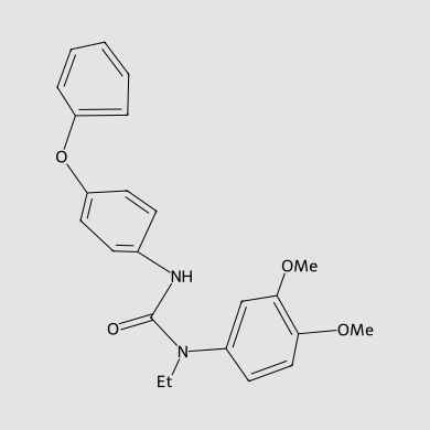 CCN(C(=O)Nc1ccc(Oc2ccccc2)cc1)c1ccc(OC)c(OC)c1